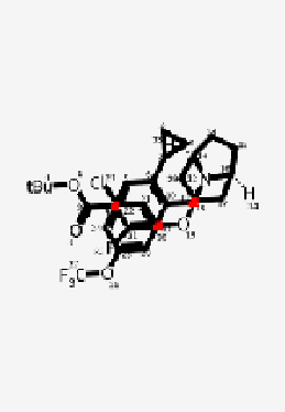 CC(C)(C)OC(=O)c1cc(C2CC2)c(CN2[C@@H]3CC[C@H]2C[C@@H](Oc2cc(Cl)cc(OC(F)(F)F)c2)C3)cc1F